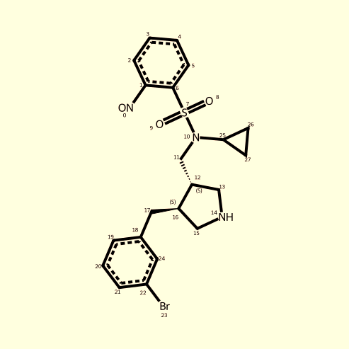 O=Nc1ccccc1S(=O)(=O)N(C[C@@H]1CNC[C@H]1Cc1cccc(Br)c1)C1CC1